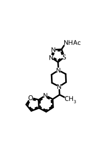 CC(=O)Nc1nnc(N2CCN(C(C)c3ccc4ccoc4n3)CC2)s1